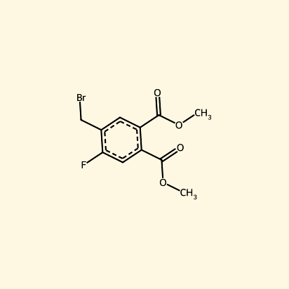 COC(=O)c1cc(F)c(CBr)cc1C(=O)OC